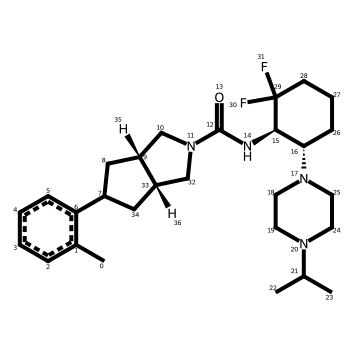 Cc1ccccc1C1C[C@@H]2CN(C(=O)N[C@@H]3[C@@H](N4CCN(C(C)C)CC4)CCCC3(F)F)C[C@@H]2C1